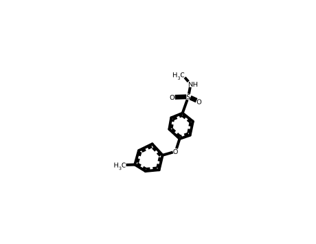 CNS(=O)(=O)c1ccc(Oc2ccc(C)cc2)cc1